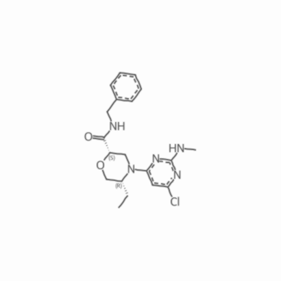 CC[C@@H]1CO[C@H](C(=O)NCc2ccccc2)CN1c1cc(Cl)nc(NC)n1